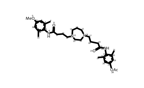 COc1cc(C)c(NC(=O)CCCN2CCCN(CCCC(=O)Nc3c(C)cc(OC(C)=O)cc3C)CC2)c(C)c1